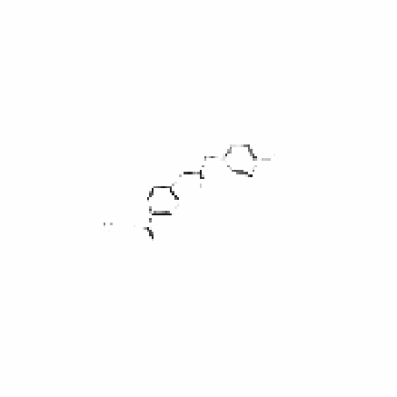 COC(=O)c1ccc(CC(=O)Cc2ccc(C)cc2)cc1